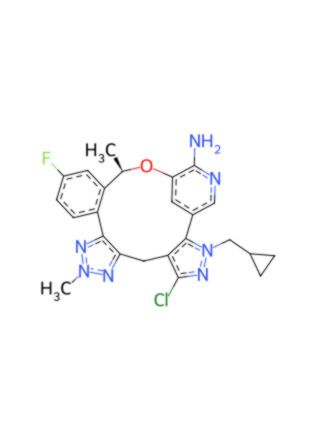 C[C@H]1Oc2cc(cnc2N)-c2c(c(Cl)nn2CC2CC2)Cc2nn(C)nc2-c2ccc(F)cc21